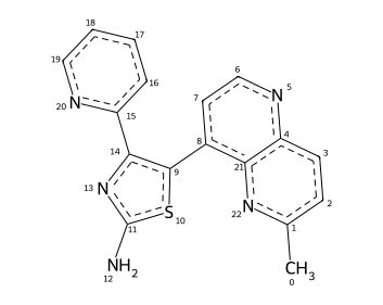 Cc1ccc2nccc(-c3sc(N)nc3-c3ccccn3)c2n1